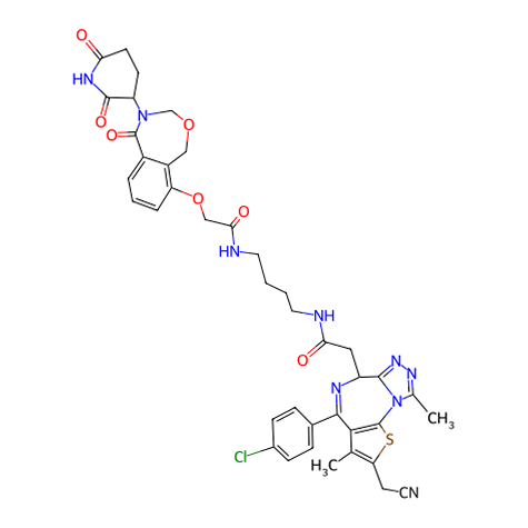 Cc1c(CC#N)sc2c1C(c1ccc(Cl)cc1)=NC(CC(=O)NCCCCNC(=O)COc1cccc3c1COCN(C1CCC(=O)NC1=O)C3=O)c1nnc(C)n1-2